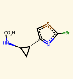 O=C(O)N[C@@H]1C[C@H]1c1csc(Br)n1